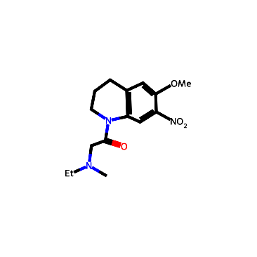 CCN(C)CC(=O)N1CCCc2cc(OC)c([N+](=O)[O-])cc21